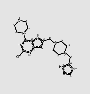 Clc1nc(N2CCOCC2)c2sc(CN3CCN(Cc4ncc[nH]4)CC3)cc2n1